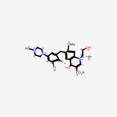 COc1cc2c(cc1Cc1cc(N3CCN(C(C)=O)CC3)cc(Cl)c1F)c(=O)c(C(=O)O)cn2[C@H](CO)C(C)C